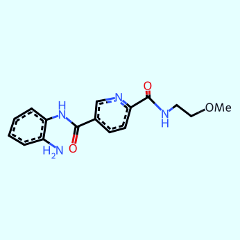 COCCNC(=O)c1ccc(C(=O)Nc2ccccc2N)cn1